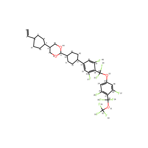 C=CC1CCC(C2COC(C3CCC(c4cc(F)c(C(F)(F)Oc5cc(F)c(C(F)(F)OC(F)(F)F)c(F)c5)c(F)c4)CC3)OC2)CC1